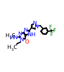 CCCn1c(NC)nc2nc(-c3cnn(Cc4cccc(C(F)(F)F)c4)c3)[nH]c2c1=O